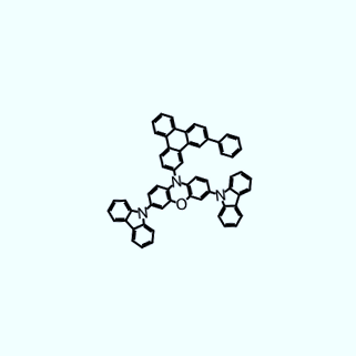 c1ccc(-c2ccc3c4ccccc4c4ccc(N5c6ccc(-n7c8ccccc8c8ccccc87)cc6Oc6cc(-n7c8ccccc8c8ccccc87)ccc65)cc4c3c2)cc1